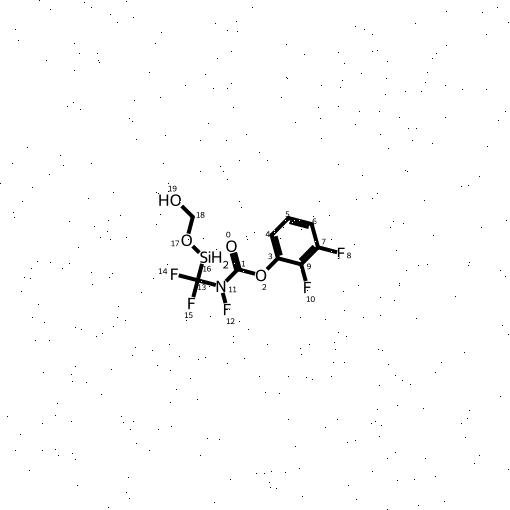 O=C(Oc1cccc(F)c1F)N(F)C(F)(F)[SiH2]OCO